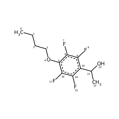 CCCCOc1c(F)c(F)c(C(C)O)c(F)c1F